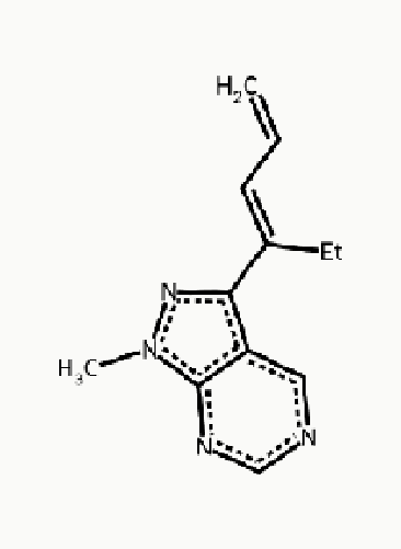 C=C/C=C(\CC)c1nn(C)c2ncncc12